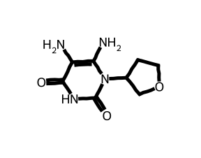 Nc1c(N)n(C2CCOC2)c(=O)[nH]c1=O